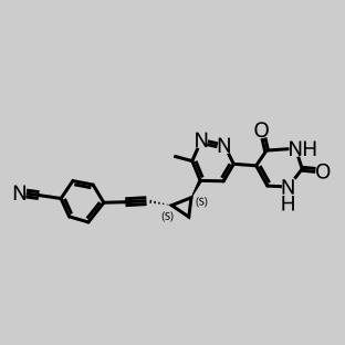 Cc1nnc(-c2c[nH]c(=O)[nH]c2=O)cc1[C@H]1C[C@@H]1C#Cc1ccc(C#N)cc1